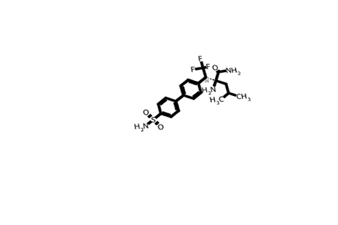 CC(C)CC(N)(C(N)=O)[C@H](c1ccc(-c2ccc(S(N)(=O)=O)cc2)cc1)C(F)(F)F